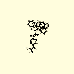 CC(C)C(=O)c1ccc(NC(=O)[C@@H]2NC3(CCCCC3)[C@@]3(C(=O)Nc4cc(Cl)ccc43)[C@H]2c2cccc(Cl)c2F)nc1